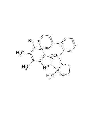 Cc1c(Br)cc2[nH]c(C3(C)CCCN3C(=O)c3ccccc3-c3ccccc3)nc2c1C